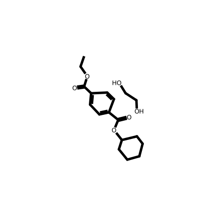 CCOC(=O)c1ccc(C(=O)OC2CCCCC2)cc1.OCCO